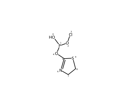 OP(OCl)OC1=NCCS1